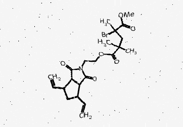 C=CC1CC(C=C)C2C(=O)N(CCOC(=O)C(C)(C)CC(C)(Br)C(=O)OC)C(=O)C12